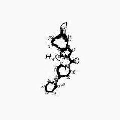 Cn1c(C(=O)N2CCC(N3CCCCC3)CC2)cc2cc(Cl)ccc21